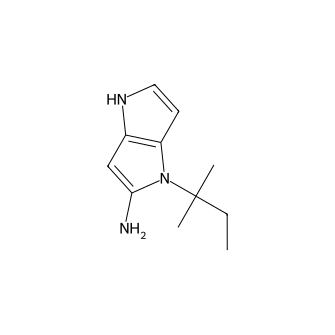 CCC(C)(C)n1c(N)cc2[nH]ccc21